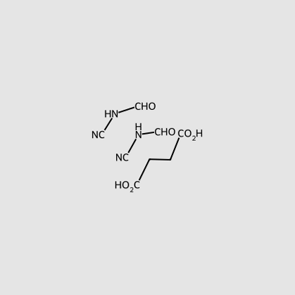 N#CNC=O.N#CNC=O.O=C(O)CCC(=O)O